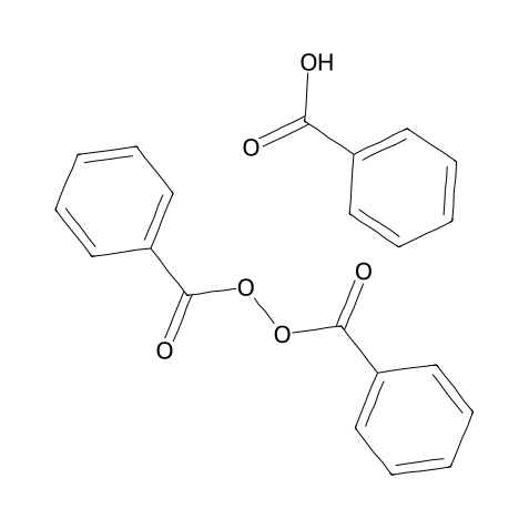 O=C(O)c1ccccc1.O=C(OOC(=O)c1ccccc1)c1ccccc1